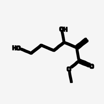 C=C(C(=O)OC)C(O)CCCO